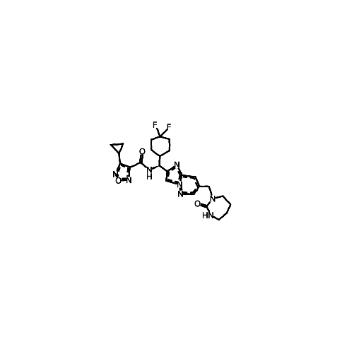 O=C(N[C@H](c1cn2ncc(CN3CCCCNC3=O)cc2n1)C1CCC(F)(F)CC1)c1nonc1C1CC1